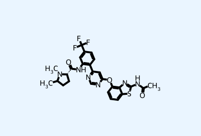 CC(=O)Nc1nc2c(Oc3cc(-c4ccc(C(F)(F)F)cc4NC(=O)[C@@H]4CCC(C)N4C)ncn3)cccc2s1